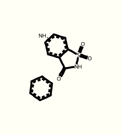 N.O=C1NS(=O)(=O)c2ccccc21.c1ccccc1